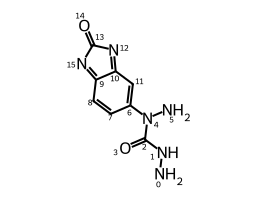 NNC(=O)N(N)c1ccc2c(c1)=NC(=O)N=2